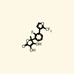 CC1(c2cccc(-c3ccoc3C(F)(F)F)c2F)OC(=O)C(O)=C1O